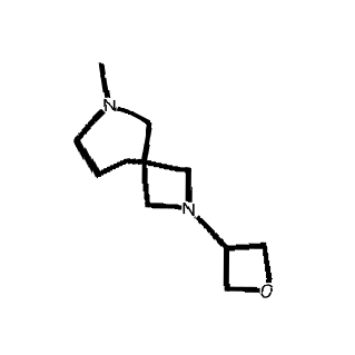 CN1CCC2(C1)CN(C1COC1)C2